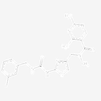 Cc1ncc(C(=O)N(C)Cc2csc(NC(=O)NCc3cccc(F)c3)n2)c(C)n1